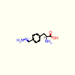 N/N=C/c1ccc(C[C@H](N)C(=O)O)cc1